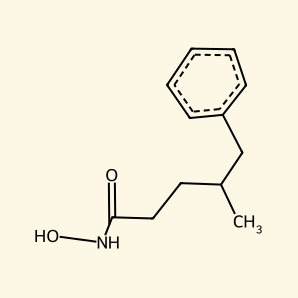 CC(CCC(=O)NO)Cc1ccccc1